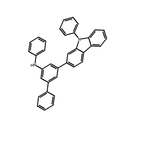 c1ccc(Nc2cc(-c3ccccc3)cc(-c3ccc4c5ccccc5n(-c5ccccc5)c4c3)c2)cc1